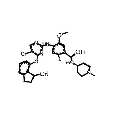 COc1cc(C(O)NC2CCN(C)CC2)c(F)cc1Nc1ncc(Cl)c(Oc2cccc3c2C(O)CC3)n1